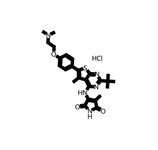 CC1=C(Nc2nc(C(C)(C)C)nc3sc(-c4ccc(OCCN(C)C)cc4)c(C)c23)C(=O)NC1=O.Cl